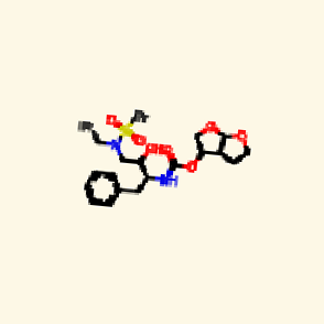 CC(C)CN(CC(O)C(Cc1ccccc1)NC(=O)OC1COC2OCCC12)S(=O)(=O)C(C)C